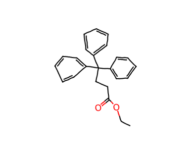 CCOC(=O)CCC(c1ccccc1)(c1ccccc1)c1ccccc1